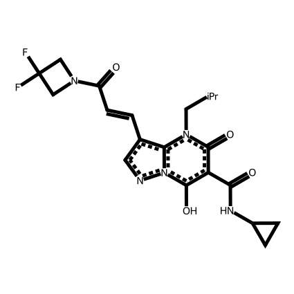 CC(C)Cn1c(=O)c(C(=O)NC2CC2)c(O)n2ncc(/C=C/C(=O)N3CC(F)(F)C3)c12